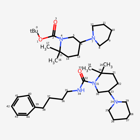 CC(C)(C)OC(=O)N1CC(N2CCCCC2)CCC1(C)C.CC1(C)CCC(N2CCCCC2)CN1C(=O)NCCCCc1ccccc1